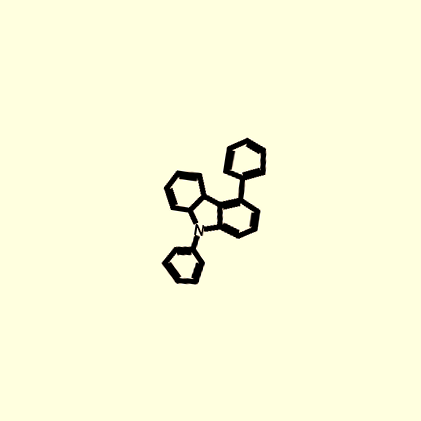 C1=CC2c3c(-c4ccccc4)cccc3N(c3ccccc3)C2C=C1